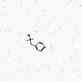 COC(=O)C(C)(C)Cc1ccc(OC)cc1